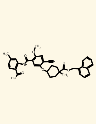 COc1cc(C#N)c(OC2CCC(C)(C(=O)OCc3cccc4ccccc34)CC2)cc1C(=O)Nc1cc(C)ccc1C(=O)O